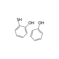 Oc1ccccc1.Oc1ccccc1S